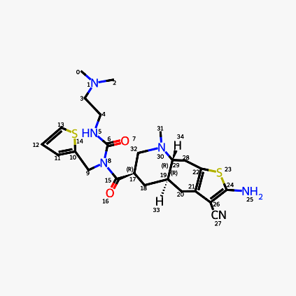 CN(C)CCNC(=O)N(Cc1cccs1)C(=O)[C@@H]1C[C@@H]2Cc3c(sc(N)c3C#N)C[C@H]2N(C)C1